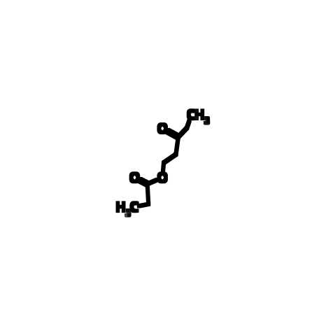 CCC(=O)CCOC(=O)CC